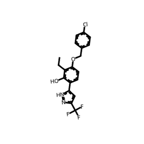 CCc1c(OCc2ccc(Cl)cc2)ccc(-c2cc(C(F)(F)F)n[nH]2)c1O